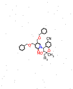 CC1(C)Oc2ccc(C#N)cc2C(n2cc(COCc3ccccc3)c(COCc3ccccc3)cc2=O)C1O